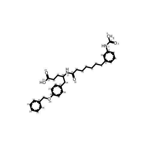 CC(=O)Nc1cccc(CCCCCCC(=O)NC(CCC(=O)O)Cc2ccc(OCc3ccccc3)cc2)c1